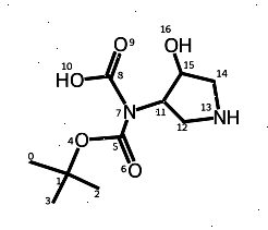 CC(C)(C)OC(=O)N(C(=O)O)C1CNCC1O